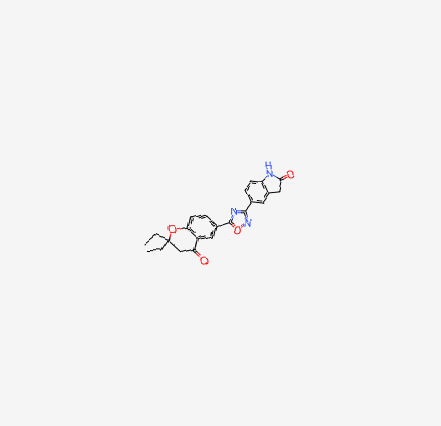 CCC1(CC)CC(=O)c2cc(-c3nc(-c4ccc5c(c4)CC(=O)N5)no3)ccc2O1